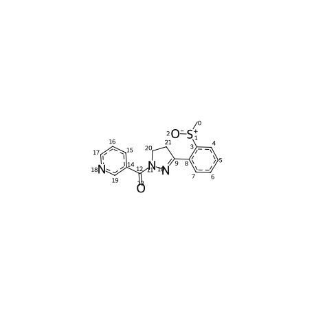 C[S+]([O-])c1ccccc1C1=NN(C(=O)c2cccnc2)CC1